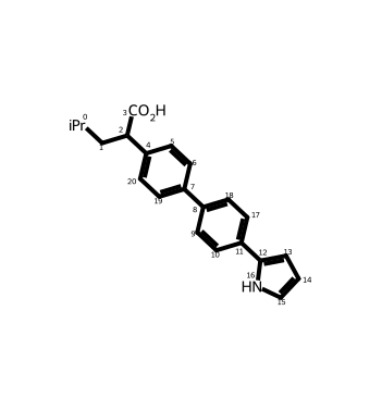 CC(C)CC(C(=O)O)c1ccc(-c2ccc(-c3ccc[nH]3)cc2)cc1